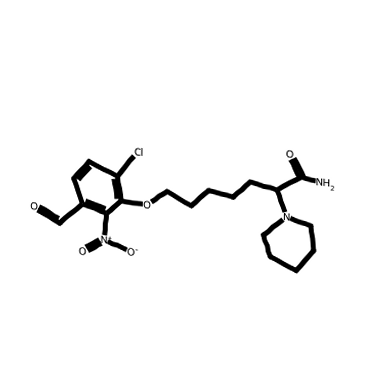 NC(=O)C(CCCCCOc1c(Cl)ccc(C=O)c1[N+](=O)[O-])N1CCCCC1